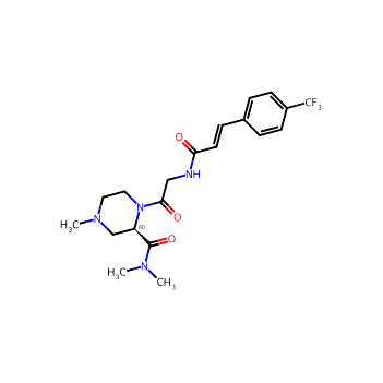 CN1CCN(C(=O)CNC(=O)/C=C/c2ccc(C(F)(F)F)cc2)[C@@H](C(=O)N(C)C)C1